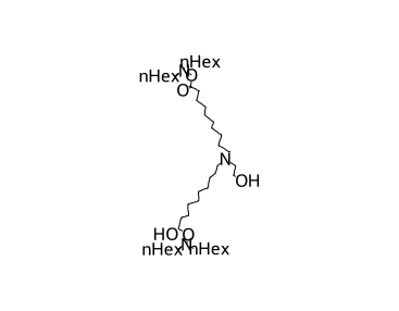 CCCCCCN(CCCCCC)OC(=O)CCCCCCCCCN(CCO)CCCCCCCCCC(O)ON(CCCCCC)CCCCCC